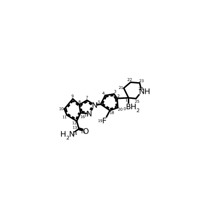 BC1(c2ccc(-n3cc4cccc(C(N)=O)c4n3)c(F)c2)CCCNC1